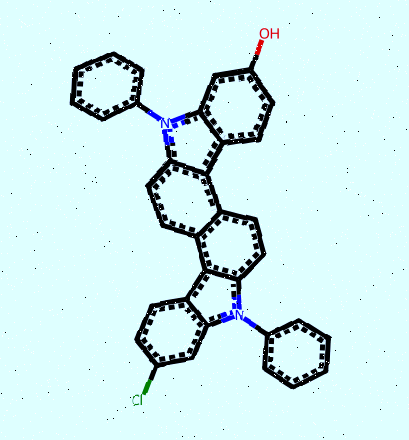 Oc1ccc2c3c4ccc5c(c4ccc3n(-c3ccccc3)c2c1)c1ccc(Cl)cc1n5-c1ccccc1